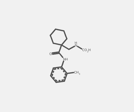 Cc1ccccc1NC(=O)C1(CNC(=O)O)CCCCC1